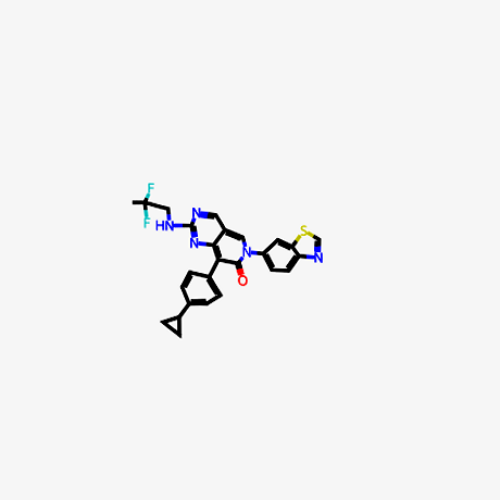 CC(F)(F)CNc1ncc2cn(-c3ccc4ncsc4c3)c(=O)c(-c3ccc(C4CC4)cc3)c2n1